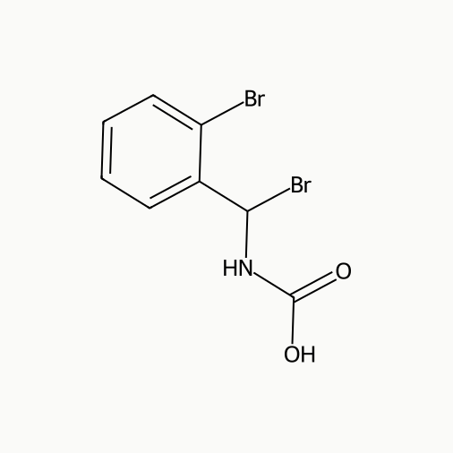 O=C(O)NC(Br)c1ccccc1Br